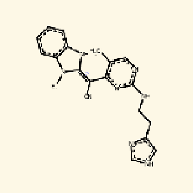 CCN1/C(=C(\C#N)c2nc(NCCc3c[nH]cn3)ncc2C)Nc2ccccc21